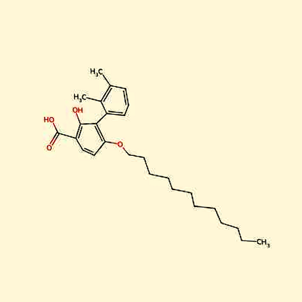 CCCCCCCCCCCCOc1ccc(C(=O)O)c(O)c1-c1cccc(C)c1C